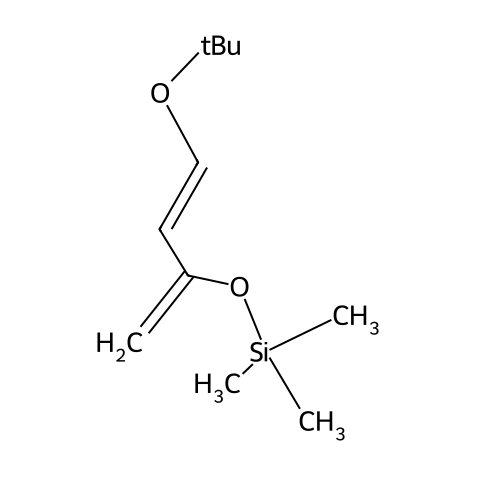 C=C(/C=C/OC(C)(C)C)O[Si](C)(C)C